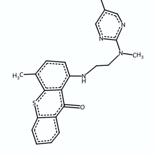 CCOC(=O)c1cnc(N(C)CCNc2ccc(C)c3sc4ccccc4c(=O)c23)nc1